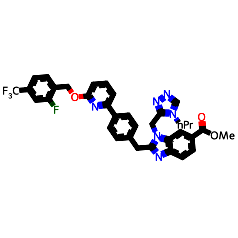 CCCn1cnnc1Cn1c(Cc2ccc(-c3cccc(OCc4ccc(C(F)(F)F)cc4F)n3)cc2)nc2ccc(C(=O)OC)cc21